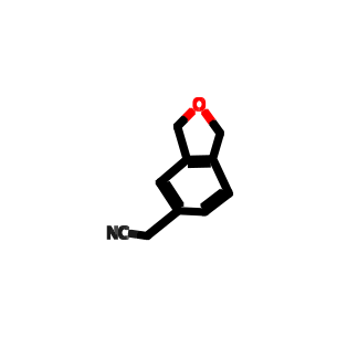 N#CCc1ccc2c(c1)COC2